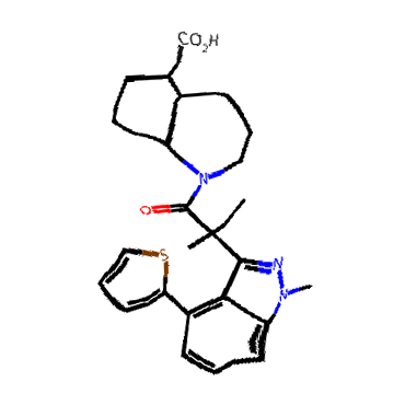 Cn1nc(C(C)(C)C(=O)N2CCCC3C(C(=O)O)CCCC32)c2c(-c3cccs3)cccc21